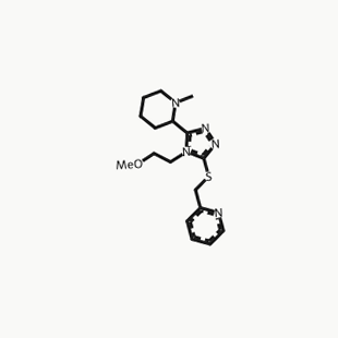 COCCn1c(SCc2ccccn2)nnc1C1CCCCN1C